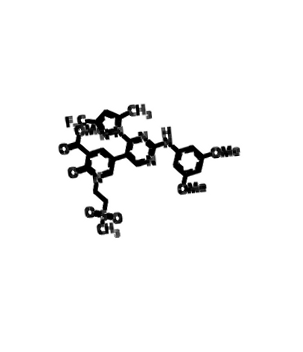 COC(=O)c1cc(-c2cnc(Nc3cc(OC)cc(OC)c3)nc2-n2nc(C(F)(F)F)cc2C)cn(CCS(C)(=O)=O)c1=O